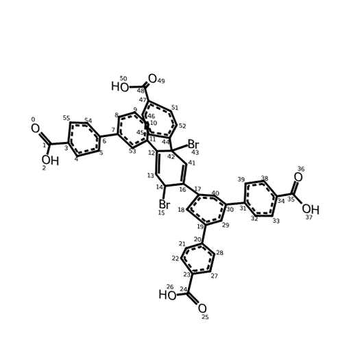 O=C(O)c1ccc(-c2cccc(C3=CC(Br)C(c4cc(-c5ccc(C(=O)O)cc5)cc(-c5ccc(C(=O)O)cc5)c4)=CC3(Br)c3ccc(C(=O)O)cc3)c2)cc1